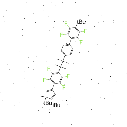 CC[C@H](C)C1=CC(c2c(F)c(F)c(C(C)(C)C(C)(C)c3ccc(-c4c(F)c(F)c(C(C)(C)C)c(F)c4F)cc3)c(F)c2F)=CC1(C)C(C)(C)C